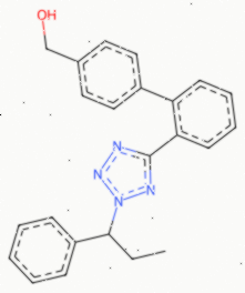 CCC(c1ccccc1)n1nnc(-c2ccccc2-c2ccc(CO)cc2)n1